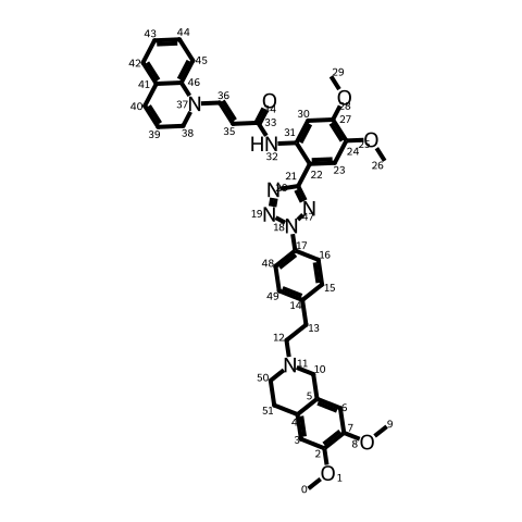 COc1cc2c(cc1OC)CN(CCc1ccc(-n3nnc(-c4cc(OC)c(OC)cc4NC(=O)C=CN4CC=Cc5ccccc54)n3)cc1)CC2